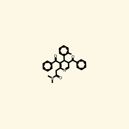 Cc1ccccc1C1C(C(=O)c2ccccc2)=C(CC(=O)N(C)C)N=CC1C(=O)c1ccccc1